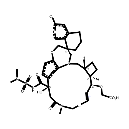 CN1CC/C=C/[C@H](OCC(=O)O)[C@@H]2CC[C@H]2CN2C[C@@]3(CCCc4cc(Cl)ccc43)COc3ccc(cc32)[C@@](O)(C(=O)NS(=O)(=O)N(C)C)CC1=O